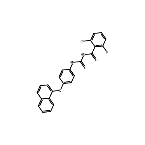 O=C(NC(=O)c1c(F)cccc1Cl)Nc1ccc(Oc2cccc3ccccc23)cc1